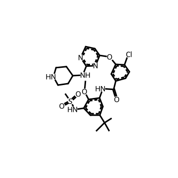 COc1c(NC(=O)c2ccc(Cl)c(Oc3ccnc(NC4CCNCC4)n3)c2)cc(C(C)(C)C)cc1NS(C)(=O)=O